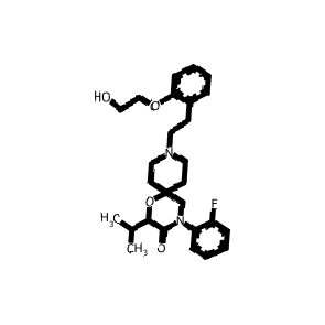 CC(C)C1OC2(CCN(CCc3ccccc3OCCO)CC2)CN(c2ccccc2F)C1=O